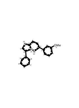 COc1cccc(-c2ccc3ncc(-c4c[c]ccc4)n3n2)c1